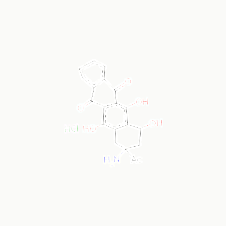 CC(=O)C1(N)Cc2c(O)c3c(c(O)c2C(O)C1)C(=O)c1ccccc1C3=O.Cl